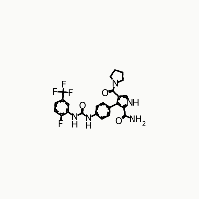 NC(=O)c1[nH]cc(C(=O)N2CCCC2)c1-c1ccc(NC(=O)Nc2cc(C(F)(F)F)ccc2F)cc1